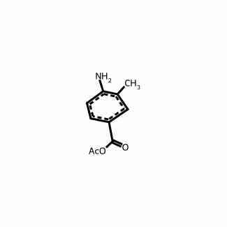 CC(=O)OC(=O)c1ccc(N)c(C)c1